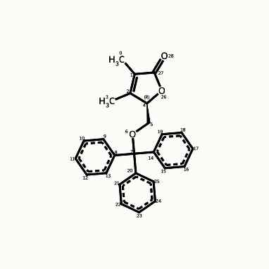 CC1=C(C)[C@H](COC(c2ccccc2)(c2ccccc2)c2ccccc2)OC1=O